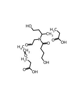 C.C=O.CC(CCO)N(CC=O)C(=O)CCCO.CCC(=O)O.CCC(=O)O